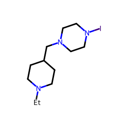 CCN1CCC(CN2CCN(I)CC2)CC1